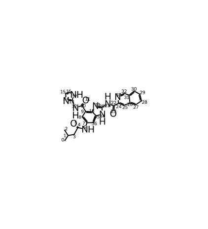 CC(C)CC(=O)Nc1cc(C(=O)Nc2ncc[nH]2)c2nc(NC(=O)c3cc4ccccc4cn3)[nH]c2c1